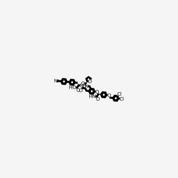 N#Cc1ccc(-c2ccc(C[C@H](NC(=O)C3Cc4cc5c(cc4CN3C(=O)[C@H]3CCCO3)O[C@@H](c3ccc(OCc4ccc(Cl)c(Cl)c4)cc3)C(=O)N5)C(=O)O)cc2)cc1